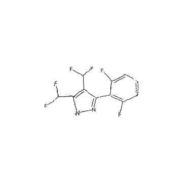 Fc1cccc(F)c1C1=N[N]C(C(F)F)=C1C(F)F